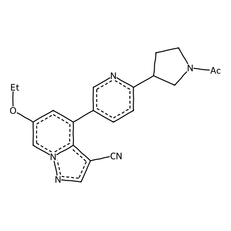 CCOc1cc(-c2ccc(C3CCN(C(C)=O)C3)nc2)c2c(C#N)cnn2c1